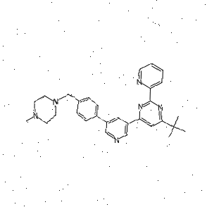 CN1CCN(Cc2ccc(-c3cncc(-c4cc(C(C)(C)C)nc(-c5ccccn5)n4)c3)cc2)CC1